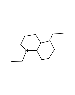 CCN1CCCC2C1CCCN2CC